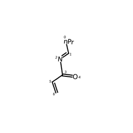 [CH2]CCC=NC(=O)C=C